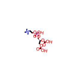 C[N+](C)(C)CCOP(=O)(O)OC[C@@H](COC(=O)O)OC(=O)O